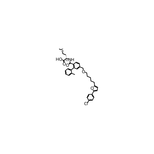 CSCC[C@H](NC(=O)c1ccc(COCCCCCc2ccc(-c3ccc(Cl)cc3)o2)cc1-c1ccccc1C)C(=O)O